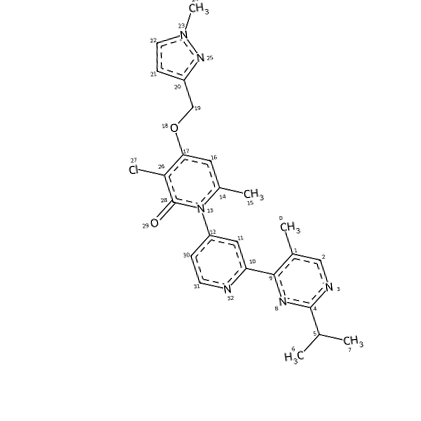 Cc1cnc(C(C)C)nc1-c1cc(-n2c(C)cc(OCc3ccn(C)n3)c(Cl)c2=O)ccn1